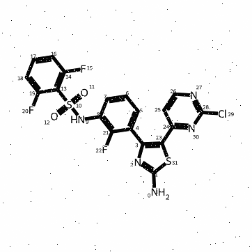 Nc1nc(-c2cccc(NS(=O)(=O)c3c(F)cccc3F)c2F)c(-c2ccnc(Cl)n2)s1